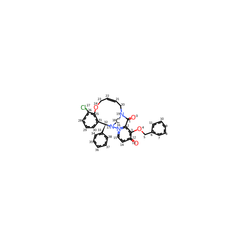 O=C1c2c(OCc3ccccc3)c(=O)ccn2N2CN1C/C=C\COc1c(Cl)cccc1[C@@H]2c1ccccc1